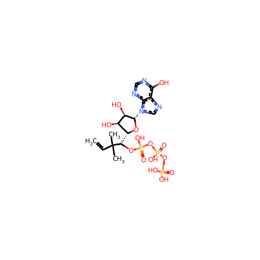 C=CC(C)(C)C(OP(=O)(O)OP(=O)(O)OP(=O)(O)O)[C@H]1O[C@@H](n2cnc3c(O)ncnc32)[C@H](O)[C@@H]1O